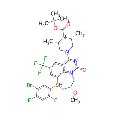 CO[C@H]1Cn2c(=O)nc(N3C[C@@H](C)N(C(=O)OC(C)(C)C)[C@@H](C)C3)c3cc(C(F)(F)F)cc(c32)[SH](c2cc(Br)c(F)cc2F)C1